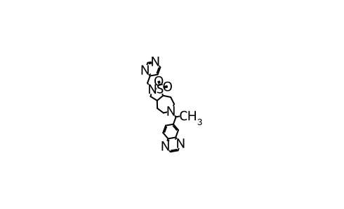 CC(c1ccc2nccnc2c1)N1CCC2CN(Cc3ccncn3)S(=O)(=O)C2CC1